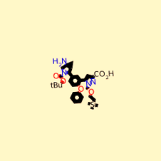 CC(C)(C)OC(=O)N1CC2(N)CC2C1c1ccc(Oc2ccccc2)c(-c2cc(C(=O)O)nn2COCC[Si](C)(C)C)c1